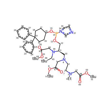 CCN(CCN(CC(=O)OC(C)(C)C)C[C@H](COP(OC1CCC(c2ccccc2)(c2ccccc2)CC1)n1ccnc1)N(CC(=O)OC(C)(C)C)CC(C)(C)C)CC(=O)OC(C)(C)C